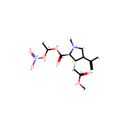 C=C(C)C1CN(C)[C@H](C(=O)OC(C)O[N+](=O)[O-])[C@H]1CC(=O)OC